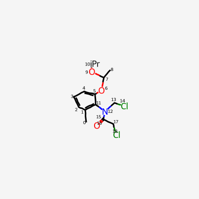 Cc1cccc(OC(C)OC(C)C)c1N(CCl)C(=O)CCl